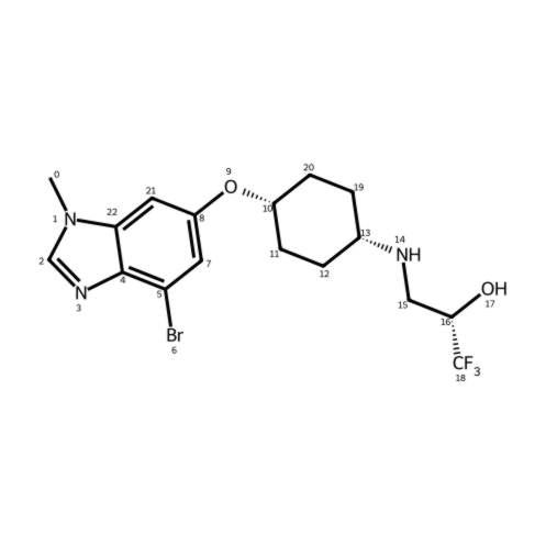 Cn1cnc2c(Br)cc(O[C@H]3CC[C@@H](NC[C@H](O)C(F)(F)F)CC3)cc21